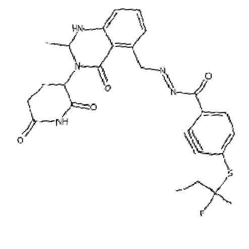 CCC(C)(F)Sc1c#cc(C(=O)N=NCc2cccc3c2C(=O)N(C2CCC(=O)NC2=O)C(C)N3)cc1